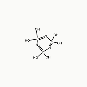 OP1(O)=NP(O)(O)=NP(O)(O)=N1